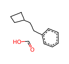 O=CO.c1ccc(CCC2CCC2)cc1